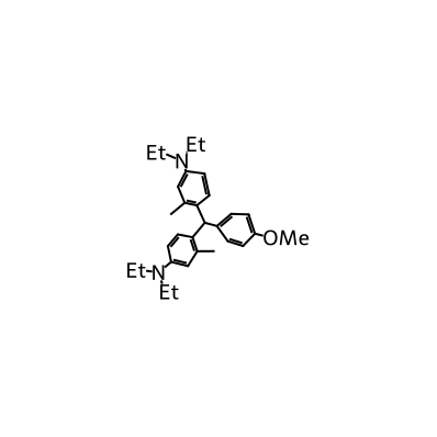 CCN(CC)c1ccc(C(c2ccc(OC)cc2)c2ccc(N(CC)CC)cc2C)c(C)c1